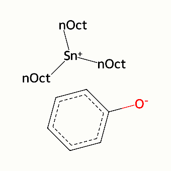 CCCCCCC[CH2][Sn+]([CH2]CCCCCCC)[CH2]CCCCCCC.[O-]c1ccccc1